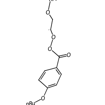 CCCCOc1ccc(C(=O)OO[CH]COCCC)cc1